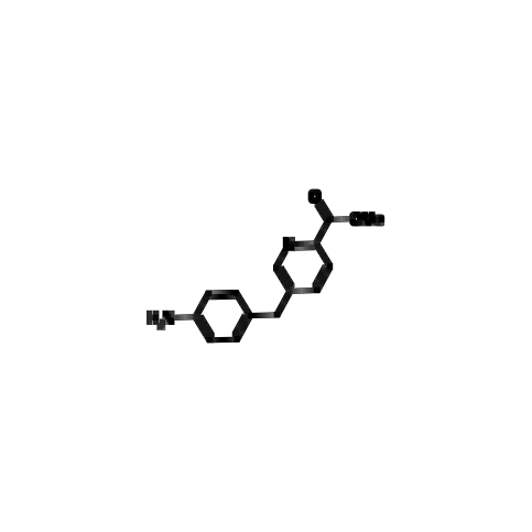 COC(=O)c1ccc(Cc2ccc(N)cc2)cn1